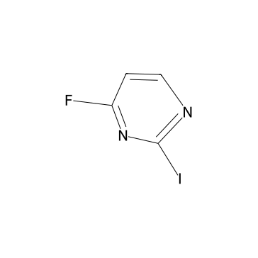 Fc1ccnc(I)n1